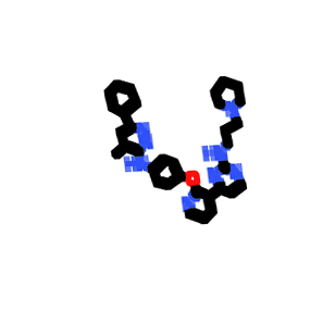 Cc1cc(-c2ccccc2)nnc1Nc1ccc(Oc2ncccc2-c2ccnc(NCCCN3CCCCC3)n2)cc1